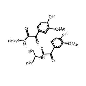 CCCC(CCC)NC(=O)C(=O)c1ccc(O)c(OC)c1.CCCCCCCNC(=O)C(=O)c1ccc(O)c(OC)c1